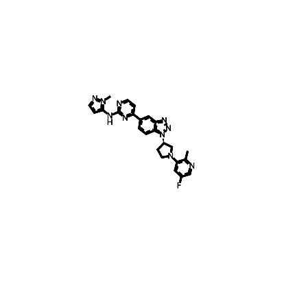 Cc1ncc(F)cc1N1CC[C@H](n2nnc3cc(-c4ccnc(Nc5ccnn5C)n4)ccc32)C1